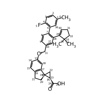 Cc1ccc(F)c(-c2ccc(COc3ccc4c(c3)[C@]3(CC4)C[C@H]3C(=O)O)cc2C2=CCCC2(C)C)c1